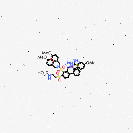 COc1ccc(CN(Cc2ccc(OC)cc2)S(=O)(=O)c2c(S(=O)(=O)CCNC(=O)O)ccc(-c3cccc4sc(N)nc34)c2-c2nnnn2Cc2ccc(OC)cc2)cc1